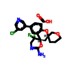 NC1=NCC(F)(F)[C@]2(C[C@@]3(CCCOC3)Oc3ccc(-c4cncc(Cl)c4)cc32)O1.O=CO